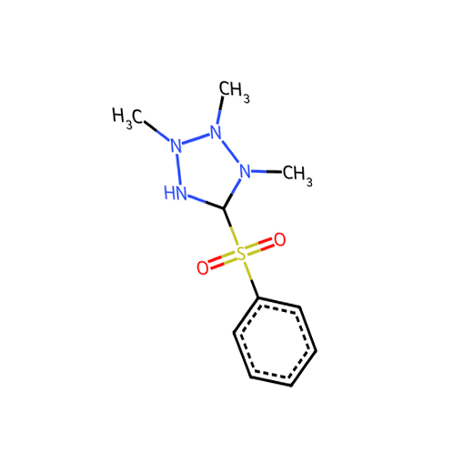 CN1NC(S(=O)(=O)c2ccccc2)N(C)N1C